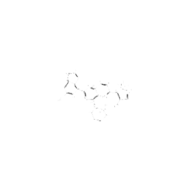 Cc1cnn(C)c1-c1ccc2nc(-c3cc(F)cc4[nH]ccc34)nc(N3CCOC[C@H]3C)c2n1